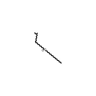 CCCCCCCCCCCCCCCCCOC(=O)CCCCCCC/C=C\CCCCCC(C)CC